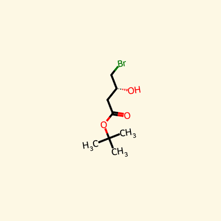 CC(C)(C)OC(=O)C[C@@H](O)CBr